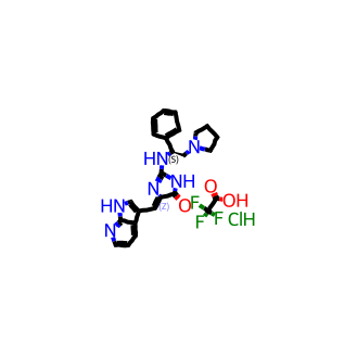 Cl.O=C(O)C(F)(F)F.O=C1NC(N[C@H](CN2CCCC2)c2ccccc2)=N/C1=C\c1c[nH]c2ncccc12